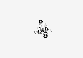 CN(CC(N)=O)C(=O)[C@H](Cc1cccnc1)NC(=O)[C@H](CC(N)=O)NC(=O)OCc1ccccc1